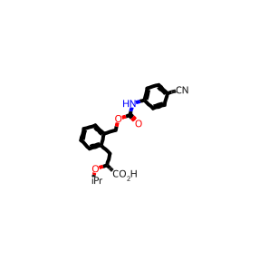 CC(C)OC(Cc1ccccc1COC(=O)Nc1ccc(C#N)cc1)C(=O)O